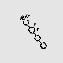 CCCCCCCCCCOC1(OCC)C=CC(c2ccc(-c3ccc(-c4ccccc4)cc3)c(F)c2F)=CC1